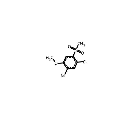 COc1cc(S(C)(=O)=O)c(Cl)cc1Br